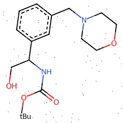 CC(C)(C)OC(=O)NC(CO)c1cccc(CN2CCOCC2)c1